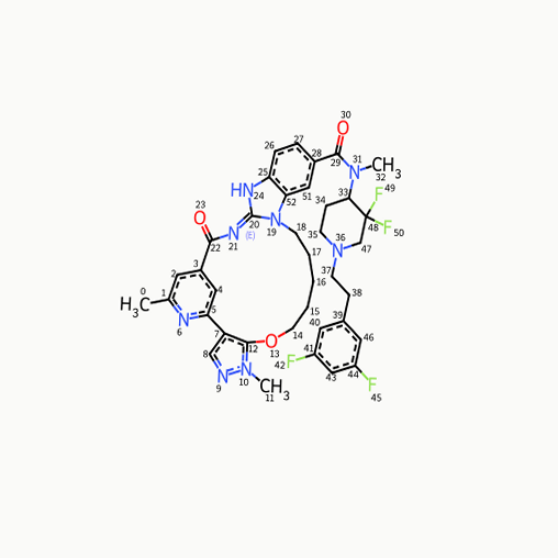 Cc1cc2cc(n1)-c1cnn(C)c1OCCCCCN1/C(=N/C2=O)Nc2ccc(C(=O)N(C)C3CCN(CCc4cc(F)cc(F)c4)CC3(F)F)cc21